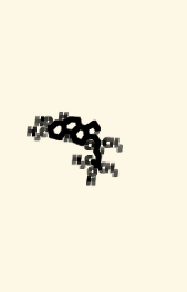 C[C@H](CCC(C)(C)O)[C@H]1CCC2C3CC[C@@H]4C[C@](C)(O)CC[C@@H]4C3CC[C@@]21C